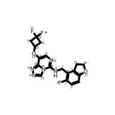 Fc1ccc2c(c1CNc1ncc(OC3CC(F)(F)C3)c3nncn13)CCO2